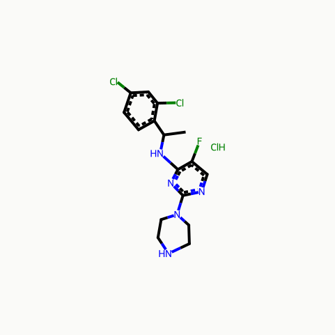 CC(Nc1nc(N2CCNCC2)ncc1F)c1ccc(Cl)cc1Cl.Cl